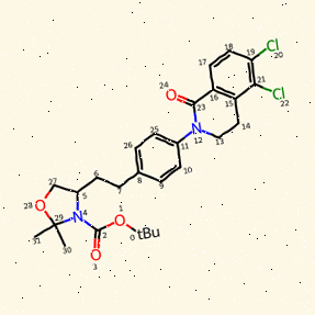 CC(C)(C)OC(=O)N1C(CCc2ccc(N3CCc4c(ccc(Cl)c4Cl)C3=O)cc2)COC1(C)C